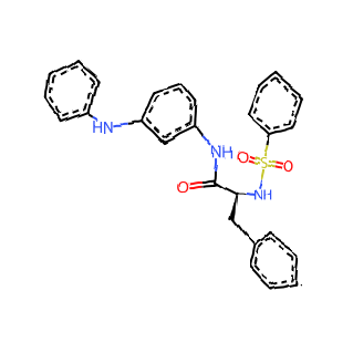 O=C(Nc1cccc(Nc2ccccc2)c1)[C@H](Cc1cc[c]cc1)NS(=O)(=O)c1ccccc1